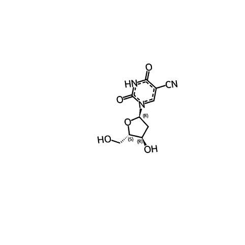 N#Cc1cn([C@H]2C[C@@H](O)[C@H](CO)O2)c(=O)[nH]c1=O